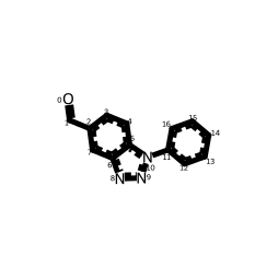 O=Cc1ccc2c(c1)nnn2-c1ccccc1